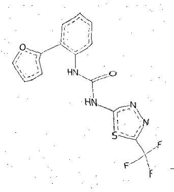 O=C(Nc1nnc(C(F)(F)F)s1)Nc1ccccc1-c1ccco1